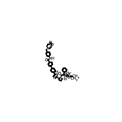 CC(C)(C)OC(=O)N[C@@H](C(=O)N1CCC[C@H]1c1ncc(-c2ccc(-c3ccc(C(=O)Nc4ccc(CN5CCS(=O)(=O)CC5)cc4)cc3)cc2)[nH]1)c1ccccc1